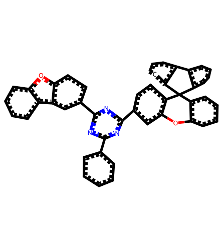 c1ccc(-c2nc(-c3ccc4c(c3)Oc3ccccc3C43c4ccccc4-c4ccccc43)nc(-c3ccc4oc5ccccc5c4c3)n2)cc1